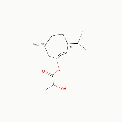 CC(O)C(=O)OC1=C[C@H](C(C)C)CC[C@@H](C)C1